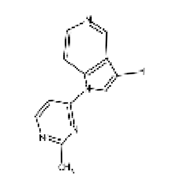 Cc1nccc(-n2cc(I)c3cnccc32)n1